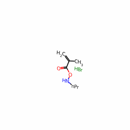 Br.C=C(C)C(=O)ONCCC